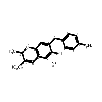 Cc1ccc(Cc2cc3c(cc2Cl)C=C(C(=O)O)C(C(F)(F)F)O3)cc1.[NaH]